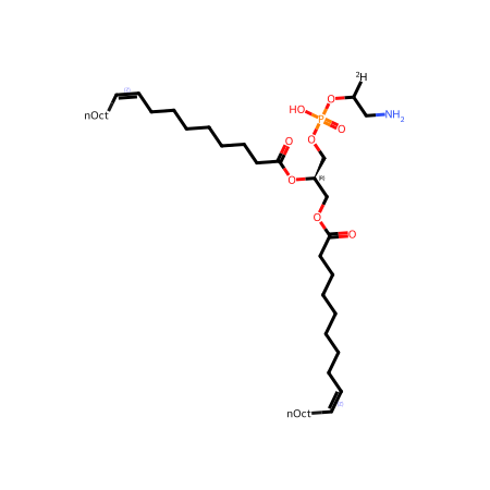 [2H]C(CN)OP(=O)(O)OC[C@@H](COC(=O)CCCCCCC/C=C\CCCCCCCC)OC(=O)CCCCCCC/C=C\CCCCCCCC